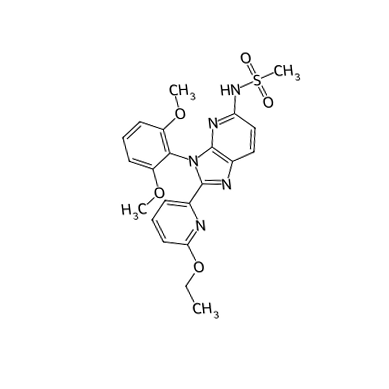 CCOc1cccc(-c2nc3ccc(NS(C)(=O)=O)nc3n2-c2c(OC)cccc2OC)n1